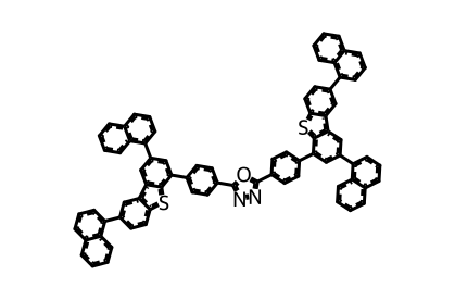 c1ccc2c(-c3ccc4sc5c(-c6ccc(-c7nnc(-c8ccc(-c9cc(-c%10cccc%11ccccc%10%11)cc%10c9sc9ccc(-c%11cccc%12ccccc%11%12)cc9%10)cc8)o7)cc6)cc(-c6cccc7ccccc67)cc5c4c3)cccc2c1